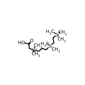 C[N+](C)(CCC[Si](C)(C)CC[Si](C)(C)C)CC(=O)O